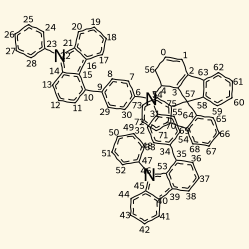 C1=CC2=C(C(N(c3ccc(-c4cccc5c4c4ccccc4n5-c4ccccc4)cc3)c3ccc(-c4cccc5c6ccccc6n(-c6ccccc6)c45)cc3)C1)C1(c3ccccc32)c2ccccc2-c2ccccc21